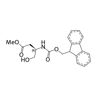 COC(=O)C[C@H](CO)NC(=O)OCC1c2ccccc2-c2ccccc21